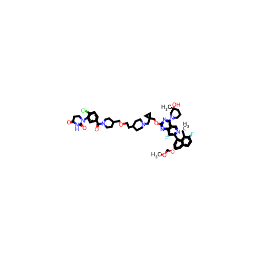 CCc1c(F)ccc2cc(OCOC)cc(-c3ncc4c(N5CCC[C@@](C)(O)C5)nc(OCC5(CN6CCC(CCOCC7CCN(C(=O)c8ccc(Cl)c(N9CCC(=O)NC9=O)c8)CC7)CC6)CC5)nc4c3F)c12